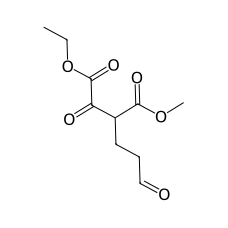 CCOC(=O)C(=O)C(CCC=O)C(=O)OC